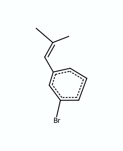 CC(C)=Cc1cccc(Br)c1